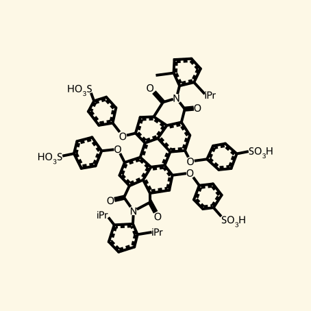 Cc1cccc(C(C)C)c1N1C(=O)c2cc(Oc3ccc(S(=O)(=O)O)cc3)c3c4c(Oc5ccc(S(=O)(=O)O)cc5)cc5c6c(cc(Oc7ccc(S(=O)(=O)O)cc7)c(c7c(Oc8ccc(S(=O)(=O)O)cc8)cc(c2c37)C1=O)c64)C(=O)N(c1c(C(C)C)cccc1C(C)C)C5=O